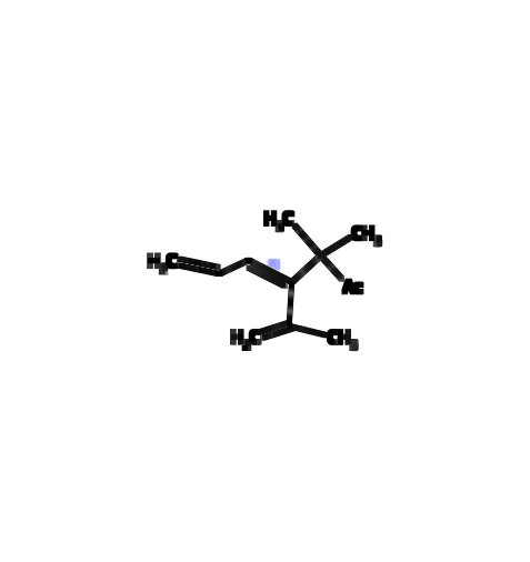 C=C/C=C(\C(=C)C)C(C)(C)C(C)=O